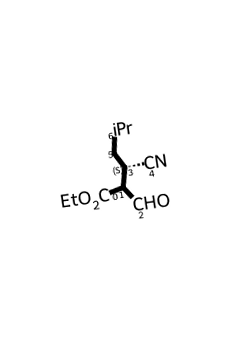 CCOC(=O)C(C=O)[C@@H](C#N)CC(C)C